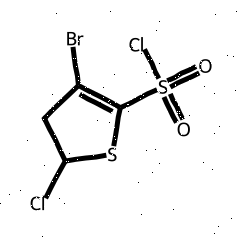 O=S(=O)(Cl)C1=C(Br)CC(Cl)S1